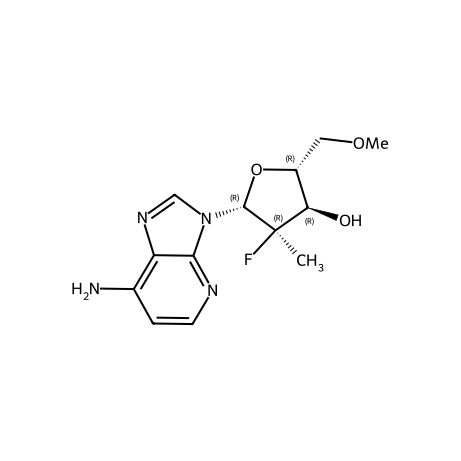 COC[C@H]1O[C@@H](n2cnc3c(N)ccnc32)[C@](C)(F)[C@@H]1O